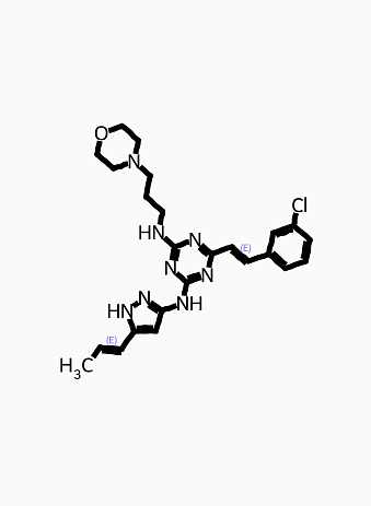 C/C=C/c1cc(Nc2nc(/C=C/c3cccc(Cl)c3)nc(NCCCN3CCOCC3)n2)n[nH]1